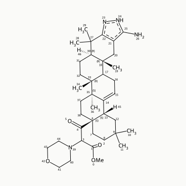 COC(=O)C(C(=O)[C@]12CCC(C)(C)C[C@H]1C1=CCC3[C@@]4(C)Cc5c(n[nH]c5N)C(C)(C)[C@@H]4CC[C@@]3(C)[C@]1(C)CC2)N1CCOCC1